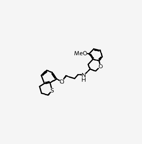 COc1cccc2c1CC(NCCCOc1cccc3c1SCCC3)CO2